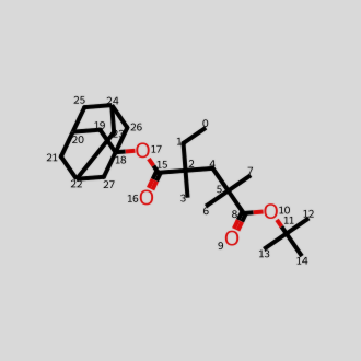 CCC(C)(CC(C)(C)C(=O)OC(C)(C)C)C(=O)OC12CC3CC(CC(C3)C1)C2